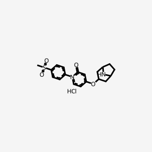 CS(=O)(=O)c1ccc(-n2ccc(OC3CC4CCC(C3)N4)cc2=O)cc1.Cl